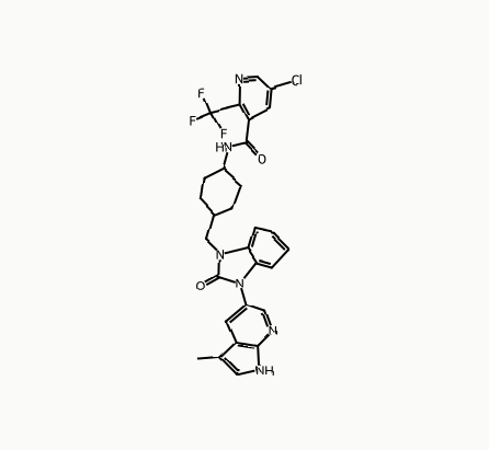 Cc1c[nH]c2ncc(-n3c(=O)n(CC4CCC(NC(=O)c5cc(Cl)cnc5C(F)(F)F)CC4)c4ccccc43)cc12